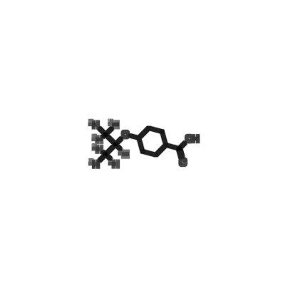 [2H]C([2H])([2H])C([2H])(OC1CCC(C(=O)O)CC1)C([2H])([2H])[2H]